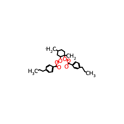 [CH2]C1CCC([CH2])(OOC(=O)c2ccc(CCC)cc2)C(OOC(=O)c2ccc(CCC)cc2)C1